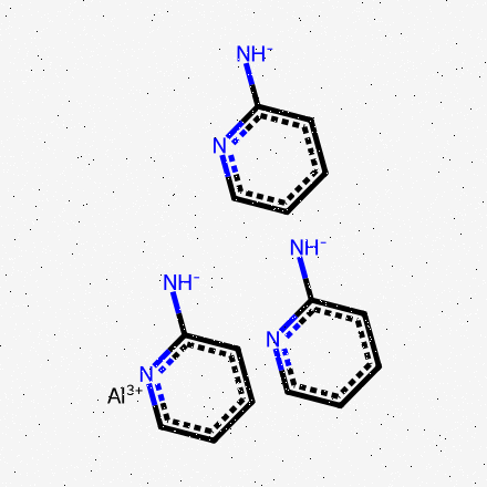 [Al+3].[NH-]c1ccccn1.[NH-]c1ccccn1.[NH-]c1ccccn1